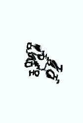 CC[Si](C#C[C@@H](O)[C@@H](C)CO)(CC)CC